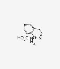 C1=NOc2ccccc2C1.NC(=O)O